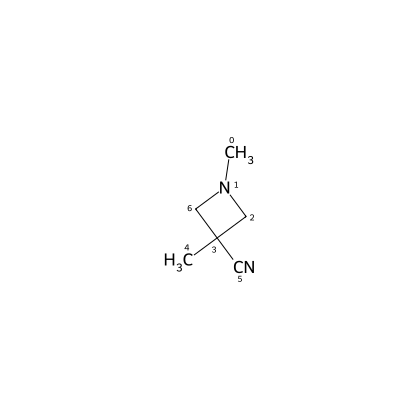 CN1CC(C)(C#N)C1